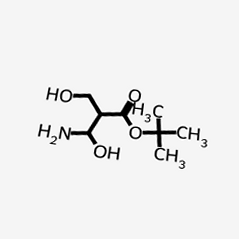 CC(C)(C)OC(=O)C(CO)C(N)O